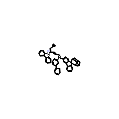 C(#C/C(=C\C1=CC1)n1c2ccccc2c2ccccc21)CN(c1cccc(-c2ccccc2)c1)c1ccc2c(c1)-c1ccccc1C21C2CC3CC(C2)CC1C3